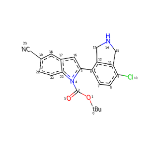 CC(C)(C)OC(=O)n1c(-c2ccc(Cl)c3c2CNC3)cc2cc(C#N)ccc21